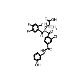 C[C@H](NN(C(=O)c1cc(F)c(F)cc1F)C(=O)c1ccc(C(=O)NCc2cccc(O)c2)cc1Cl)C(=O)O